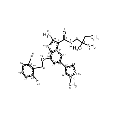 CCC(C)(N)CNC(=O)c1c(C)nc2c(OCc3c(F)cccc3F)cc(-c3cnn(C)c3)cn12